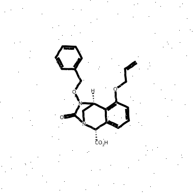 C=CCOc1cccc2c1[C@H]1CN(C(=O)N1OCc1ccccc1)[C@H]2C(=O)O